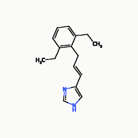 CCc1cccc(CC)c1CC=Cc1c[nH]cn1